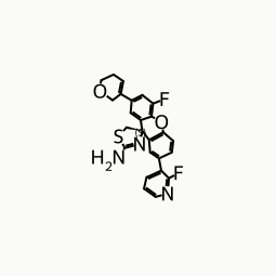 NC1=N[C@@]2(CS1)c1cc(-c3cccnc3F)ccc1Oc1c(F)cc(C3=CCCOC3)cc12